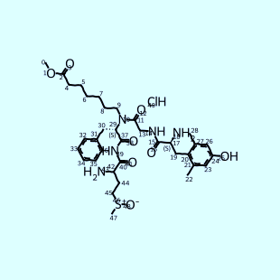 COC(=O)CCCCCCN(C(=O)CNC(=O)[C@@H](N)Cc1c(C)cc(O)cc1C)[C@@H](Cc1ccccc1)C(=O)NC(=O)C(N)CC[S+](C)[O-].Cl